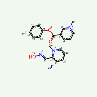 C[n+]1cccc(C(=O)Oc2ccccc2)c1.C[n+]1ccccc1C=NO.[I-].[I-]